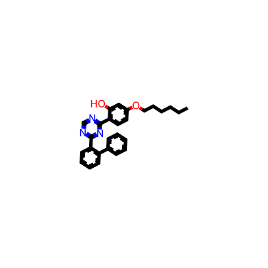 CCCCCCOc1ccc(-c2ncnc(-c3ccccc3-c3ccccc3)n2)c(O)c1